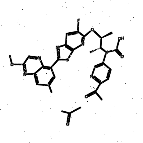 CC(C)=O.COc1cnc2c(-c3nc4cc(F)c(O[C@@H](C)[C@@H](C)N(C(=O)O)c5ccc(C(C)=O)nc5)nc4s3)cc(C)cc2n1